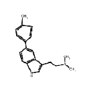 Cc1ccc(-c2ccc3[nH]cc(CCN(C)C)c3c2)cc1